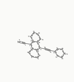 C#Cc1c2ccccc2c(C#Cc2ccncc2)c2ccccc12